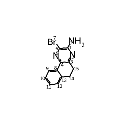 Nc1nc2c(nc1Br)-c1ccccc1CC2